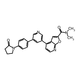 CN(C)C(=O)c1cc2c(-c3cncc(-c4ccc(N5CCCC5=O)cc4)c3)ccnc2o1